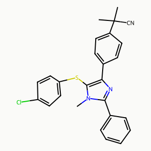 Cn1c(-c2ccccc2)nc(-c2ccc(C(C)(C)C#N)cc2)c1Sc1ccc(Cl)cc1